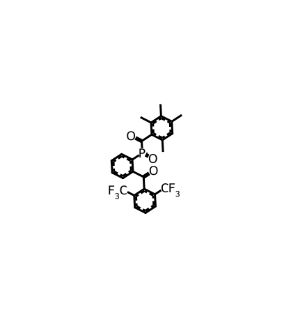 Cc1cc(C)c(C(=O)[P](=O)c2ccccc2C(=O)c2c(C(F)(F)F)cccc2C(F)(F)F)c(C)c1C